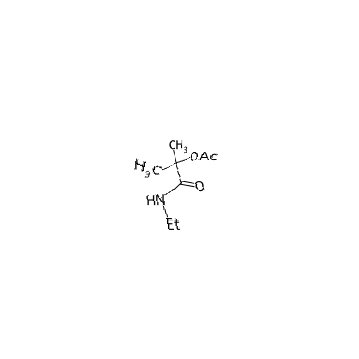 CCNC(=O)C(C)(C)OC(C)=O